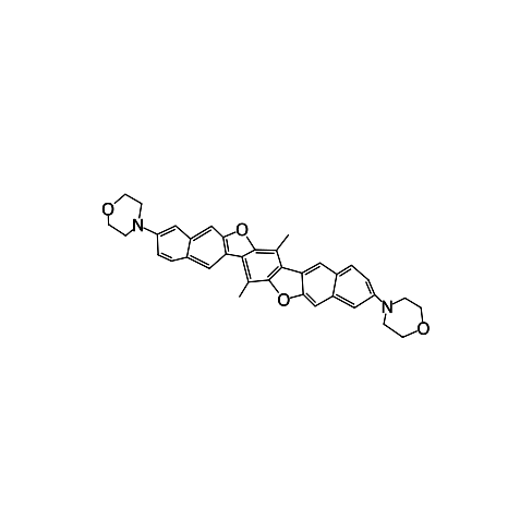 Cc1c2oc3cc4cc(N5CCOCC5)ccc4cc3c2c(C)c2oc3cc4cc(N5CCOCC5)ccc4cc3c12